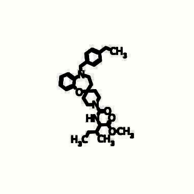 CCc1ccc(CN2CCC3(CCN(C(=O)NC(C(=O)OC)C(C)CC)CC3)Oc3ccccc32)cc1